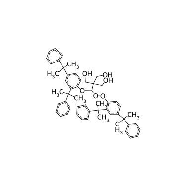 CC(C)(c1ccccc1)c1ccc(OOC(Oc2ccc(C(C)(C)c3ccccc3)cc2C(C)(C)c2ccccc2)C(CO)(CO)CO)c(C(C)(C)c2ccccc2)c1